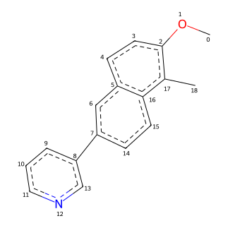 COc1ccc2cc(-c3cccnc3)ccc2c1C